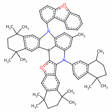 Cc1cc2c3c(c1)N(c1cccc4oc5ccccc5c14)c1cc4c(cc1B3c1oc3cc5c(cc3c1N2c1ccc2c(c1)C(C)CCC2(C)C)C(C)(C)CCC5(C)C)C(C)(C)CCC4(C)C